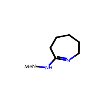 CNNC1=NCCCCC1